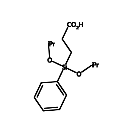 CC(C)O[Si](CCC(=O)O)(OC(C)C)c1ccccc1